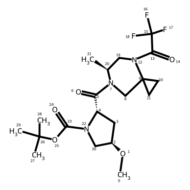 CO[C@@H]1C[C@@H](C(=O)N2CC3(CC3)N(C(=O)C(F)(F)F)C[C@@H]2C)N(C(=O)OC(C)(C)C)C1